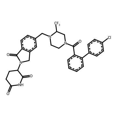 O=C1CCC(N2Cc3cc(CN4CCN(C(=O)c5ccccc5-c5ccc(Cl)cc5)CC4C(F)(F)F)ccc3C2=O)C(=O)N1